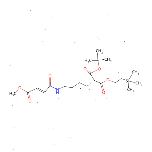 COC(=O)C=CC(=O)NCCCC[C@@H](C(=O)OCC[Si](C)(C)C)C(=O)OC(C)(C)C